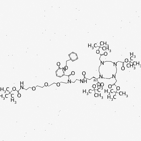 CC(C)(C)OC(=O)CN1CCN(CC(=O)OC(C)(C)C)CCN([C@H](CCC(=O)NCCN(CCOCCOCCOCCNC(=O)OC(C)(C)C)C(=O)c2cccc(=O)n2OCc2ccccc2)C(=O)OC(C)(C)C)CCN(CC(=O)OC(C)(C)C)CC1